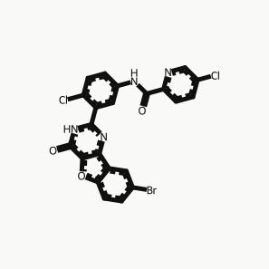 O=C(Nc1ccc(Cl)c(-c2nc3c(oc4ccc(Br)cc43)c(=O)[nH]2)c1)c1ccc(Cl)cn1